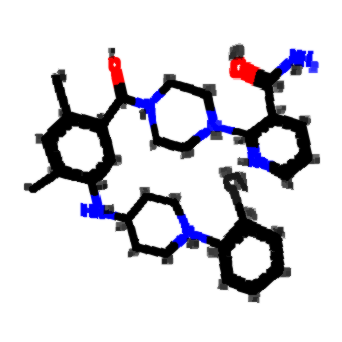 Cc1cc(C)c(C(=O)N2CCN(c3ncccc3C(N)=O)CC2)cc1NC1CCN(c2ccccc2C#N)CC1